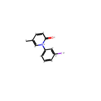 Cc1ccc(=O)n(-c2cccc(I)c2)c1